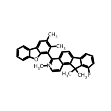 Cc1cc2c(oc3ccccc32)c(-c2c3ccc4c(c3cc[n+]2C)C(C)(C)c2c(F)cccc2-4)c1C